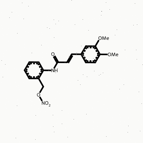 COc1ccc(/C=C/C(=O)Nc2ccccc2CO[N+](=O)[O-])cc1OC